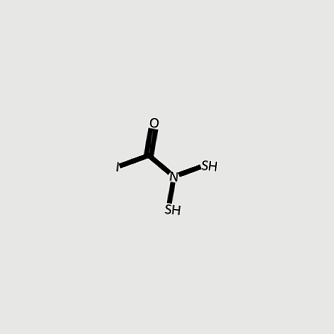 O=C(I)N(S)S